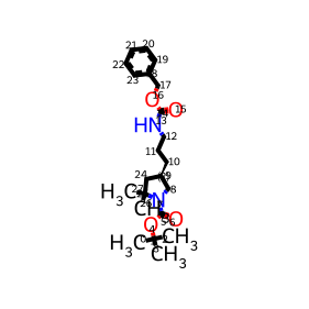 CC(C)(C)OC(=O)N1C[C@H](CCCNC(=O)OCc2ccccc2)CC1(C)C